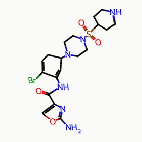 Nc1nc(C(=O)NC2=CC(N3CCN(S(=O)(=O)C4CCNCC4)CC3)CC=C2Br)co1